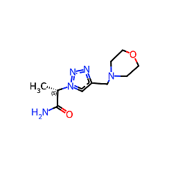 C[C@@H](C(N)=O)n1cc(CN2CCOCC2)nn1